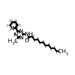 CCCCCCCCCCCC(=O)Nc1nc(C)nc(-c2ccccn2)n1